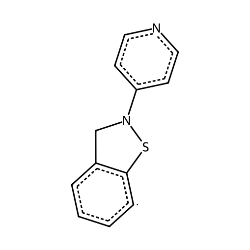 [c]1cccc2c1SN(c1ccncc1)C2